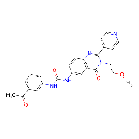 COCCn1c(-c2ccncc2)nc2ccc(NC(=O)Nc3cccc(C(C)=O)c3)cc2c1=O